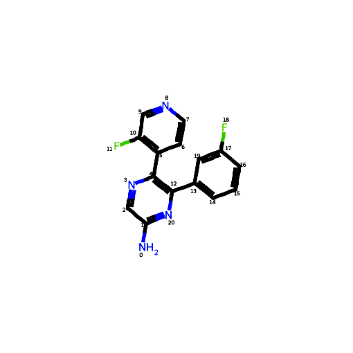 Nc1cnc(-c2ccncc2F)c(-c2cccc(F)c2)n1